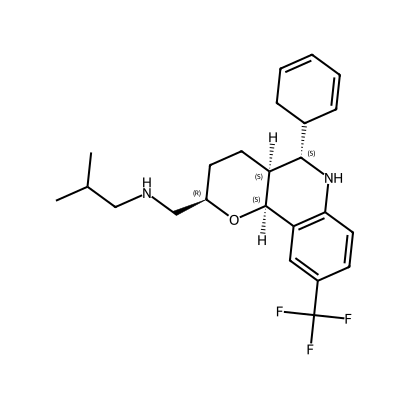 CC(C)CNC[C@H]1CC[C@@H]2[C@H](O1)c1cc(C(F)(F)F)ccc1N[C@H]2C1C=CC=CC1